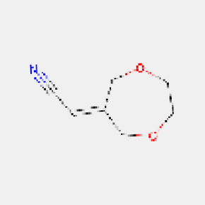 N#CC=C1COCCOC1